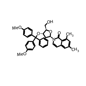 COc1ccc(C(O[C@H]2C[C@H](n3ccc4cc(C)cc(C)c4c3=O)O[C@@H]2CO)(c2ccccc2)c2ccc(OC)cc2)cc1